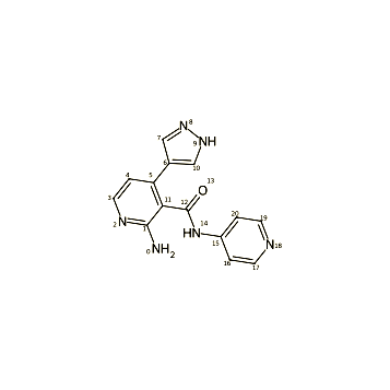 Nc1nccc(-c2cn[nH]c2)c1C(=O)Nc1ccncc1